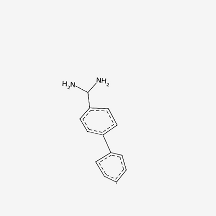 NC(N)c1ccc(-c2cc[c]cc2)cc1